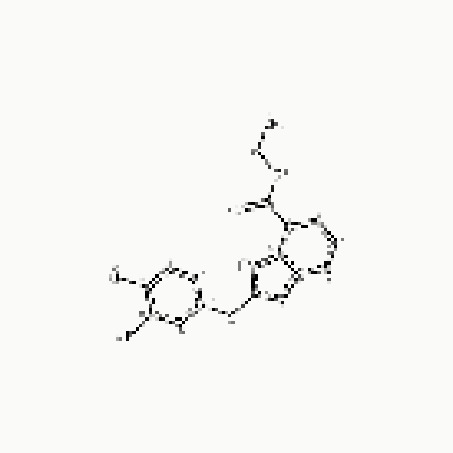 CCOC(=O)c1ccnc2cc(Cc3ccc(Cl)c(F)c3)[nH]c12